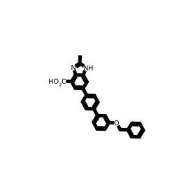 Cc1nc2c(C(=O)O)cc(-c3ccc(-c4cccc(OCc5ccccc5)c4)cc3)cc2[nH]1